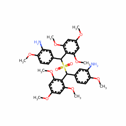 COc1cc(OC)c(C(c2ccc(OC)c(N)c2)S(=O)(=O)C(c2ccc(OC)c(N)c2)c2c(OC)cc(OC)cc2OC)c(OC)c1